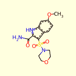 COc1ccc2c(S(=O)(=O)N3CCOCC3)c(C(N)=O)[nH]c2c1